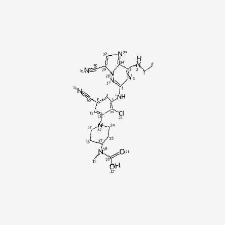 CCNc1nc(Nc2cc(C#N)cc(N3CCC(N(C)C(=O)O)CC3)c2Cl)nn2c(C#N)cnc12